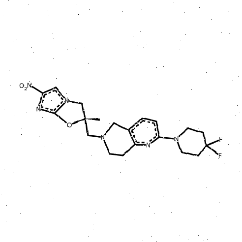 C[C@]1(CN2CCc3nc(N4CCC(F)(F)CC4)ccc3C2)Cn2cc([N+](=O)[O-])nc2O1